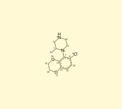 CC1CNCCN1c1c(Cl)ccc2c1OCCO2